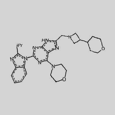 CC(C)c1nc2ccccc2n1-c1nc(N2CCOCC2)c2nc(CN3CC(C4CCOCC4)C3)[nH]c2n1